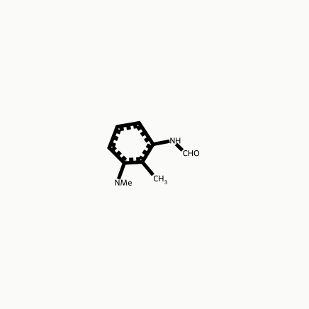 CNc1cccc(NC=O)c1C